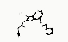 Cc1c(CC(N)CC#N)sc2c(NCc3ccco3)cc(Cl)nc12.Cl